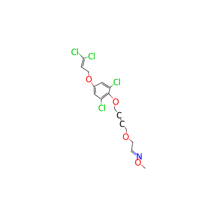 CO/N=C/COCCCCOc1c(Cl)cc(OCC=C(Cl)Cl)cc1Cl